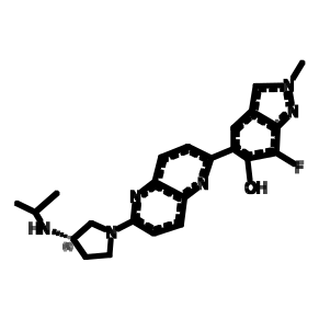 CC(C)N[C@H]1CCN(c2ccc3nc(-c4cc5cn(C)nc5c(F)c4O)ccc3n2)C1